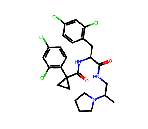 CC(CNC(=O)[C@H](Cc1ccc(Cl)cc1Cl)NC(=O)C1(c2ccc(Cl)cc2Cl)CC1)N1CCCC1